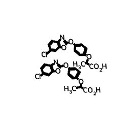 CC(Oc1ccc(Oc2nc3ccc(Cl)cc3o2)cc1)C(=O)O.CC(Oc1ccc(Oc2nc3ccc(Cl)cc3o2)cc1)C(=O)O